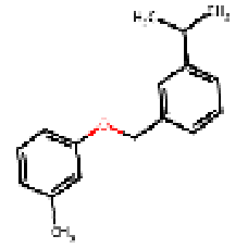 Cc1cccc(OCc2cccc(C(C)C)c2)c1